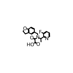 CC(c1ncccc1F)N(Cc1ccc2c(c1)CCO2)C(=O)C(=O)O